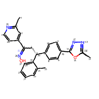 Cc1cc(/C(C[C@H](c2ccc(-c3nnc(C)o3)cc2)c2ccccc2C)=N/O)ccn1